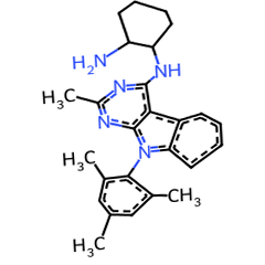 Cc1cc(C)c(-n2c3ccccc3c3c(NC4CCCCC4N)nc(C)nc32)c(C)c1